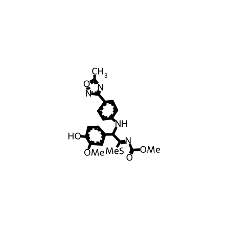 COC(=O)N=C(SC)C(Nc1ccc(-c2noc(C)n2)cc1)c1ccc(O)c(OC)c1